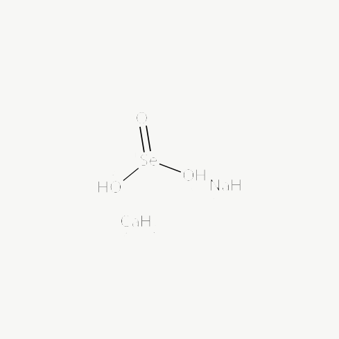 O=[Se](O)O.[CaH2].[NaH]